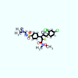 CON(C)C(=O)c1sc(-c2ccc(Cl)cc2Cl)c(C)c1-c1ccc(S(=O)(=O)/N=C/N(C)C)cc1